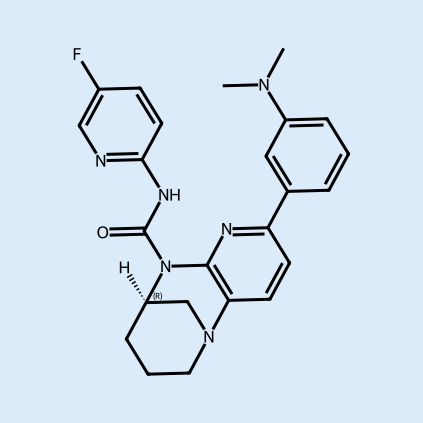 CN(C)c1cccc(-c2ccc3c(n2)N(C(=O)Nc2ccc(F)cn2)[C@@H]2CCCN3C2)c1